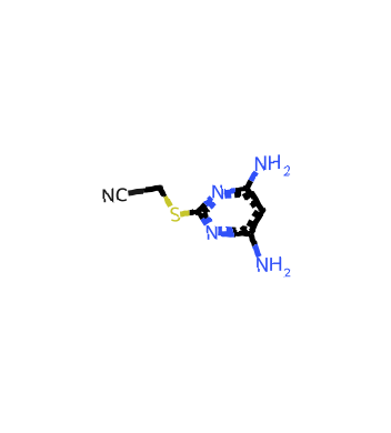 N#CCSc1nc(N)cc(N)n1